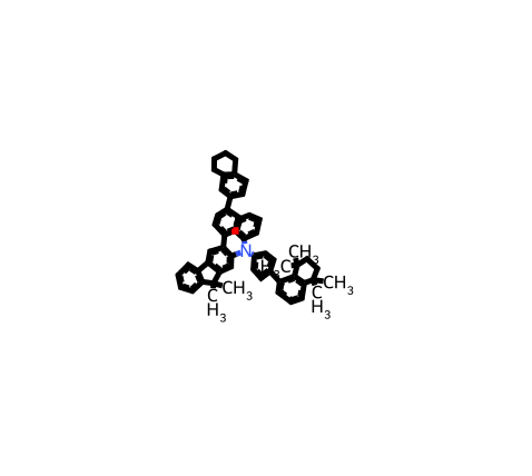 CC1(C)CCC(C)(C)c2c(-c3ccc(N(c4ccccc4)c4cc5c(cc4-c4ccc(-c6ccc7c(c6)CCCC7)cc4)-c4ccccc4C5(C)C)cc3)cccc21